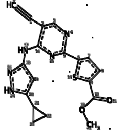 C#Cc1cnc(-c2ccc(C(=O)OC)s2)nc1Nc1cc(C2CC2)[nH]n1